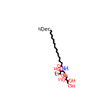 CCCCCCCCCCCCCCCCCCCCCCCCCC(=O)NC(COCC(O)C(O)CO)C(O)C(O)CC